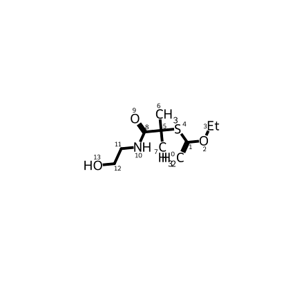 C=C(OCC)SC(C)(C)C(=O)NCCO